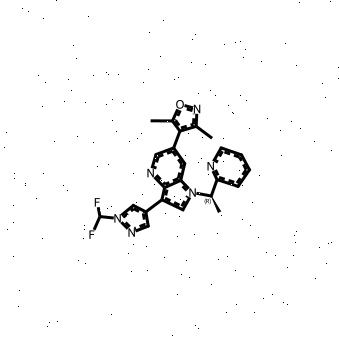 Cc1noc(C)c1-c1cnc2c(-c3cnn(C(F)F)c3)cn([C@H](C)c3ccccn3)c2c1